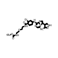 CCc1cc(Nc2nccn3c(-c4c[nH]nc4C#N)cnc23)ccc1C(=O)NCCOCCNC(=O)OC(C)(C)C